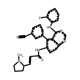 CN1CCCC1C=CC(=O)Nc1ccc2ncnc(Nc3ccccc3F)c2c1-c1cccc(C#N)c1